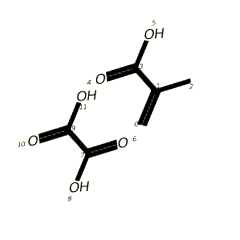 C=C(C)C(=O)O.O=C(O)C(=O)O